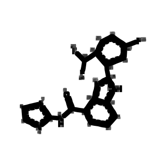 O=C(Nc1nccs1)c1cccc2[nH]c(-c3cc(F)ccc3C(F)F)nc12